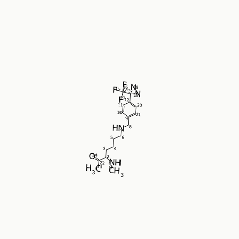 CNC(CCCCNCc1ccc(C2(C(F)(F)F)N=N2)cc1)C(C)=O